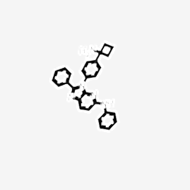 NC1(c2ccc(-n3c(-c4ccccc4)nc4ccc(Nc5ccccc5)nc43)cc2)CCC1